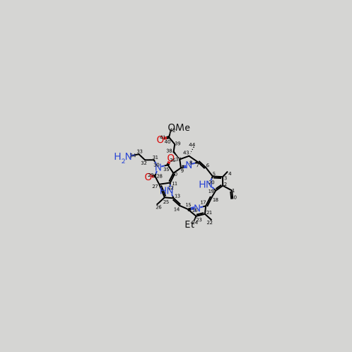 C=Cc1c(C)c2cc3nc(c4c5[nH]c(cc6nc(cc1[nH]2)C(C)=C6CC)c(C)c5C(=O)N(CCCN)C4=O)[C@@H](CCC(=O)OC)[C@@H]3C